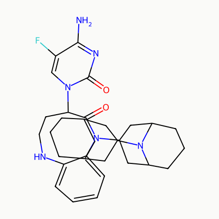 Nc1nc(=O)n(C2CCNc3ccccc3N(C3CC4CCCC(C3)N4C3CC4CCCC(C4)C3)C2=O)cc1F